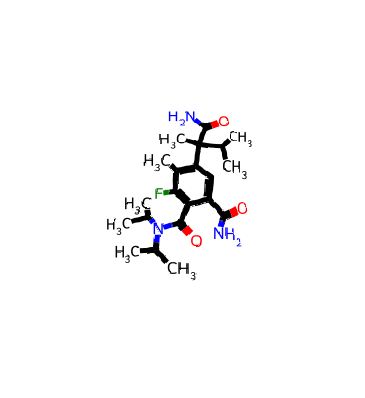 Cc1c(C(C)(C(N)=O)C(C)C)cc(C(N)=O)c(C(=O)N(C(C)C)C(C)C)c1F